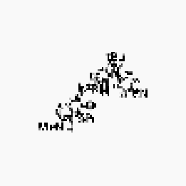 CNC1N=Cc2cc(C3CC3NC(=O)Nc3cc(C(C)(C)C)nn3-c3ccc(C#N)cc3)c(=O)n(C(C)C)c2N1